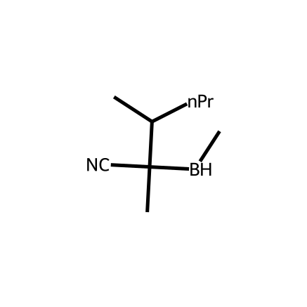 CBC(C)(C#N)C(C)CCC